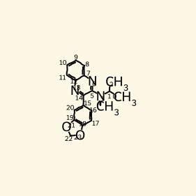 CC(C)N(C)c1nc2ccccc2nc1-c1ccc2c(c1)OCO2